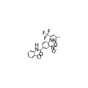 Cc1cc(C(F)(F)F)n(-c2ccc(C(=O)Nc3ccccc3Cl)cc2[N+](=O)[O-])n1